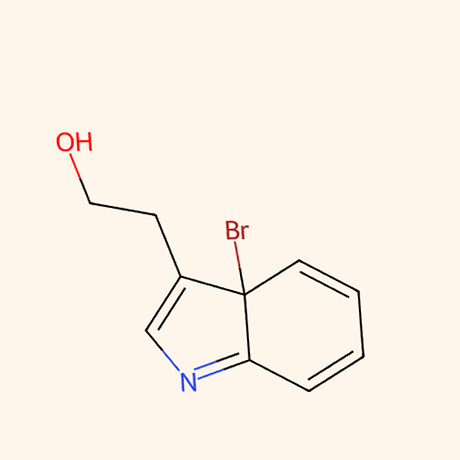 OCCC1=CN=C2C=CC=CC12Br